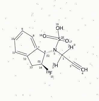 [2H]C([2H])(C#C)N([C@H]1c2ccccc2C[C@@H]1[19F])S(=O)(=O)O